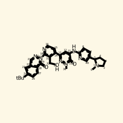 CN1CCCC1c1ccc(Nc2cc(-c3ccnc(-n4ncc5cc(C(C)(C)C)ccc5c4=O)c3CO)nn(C)c2=O)nc1